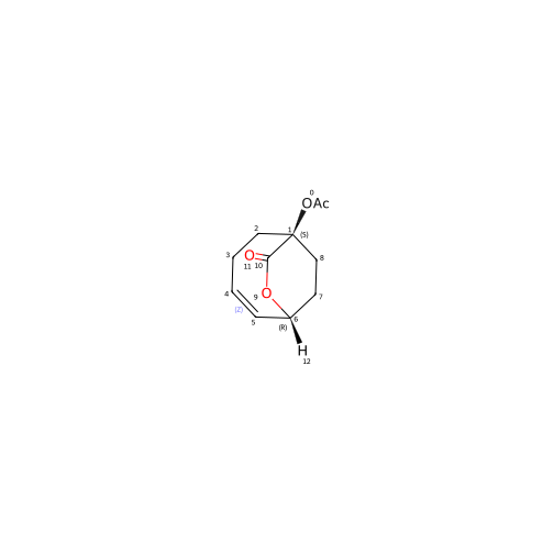 CC(=O)O[C@@]12CC/C=C\[C@@H](CC1)OC2=O